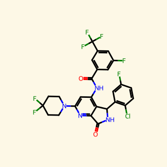 O=C(Nc1cc(N2CCC(F)(F)CC2)nc2c1C(c1cc(F)ccc1Cl)NC2=O)c1cc(F)cc(C(F)(F)F)c1